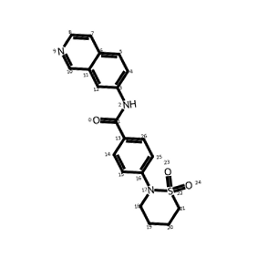 O=C(Nc1ccc2ccncc2c1)c1ccc(N2CCCCS2(=O)=O)cc1